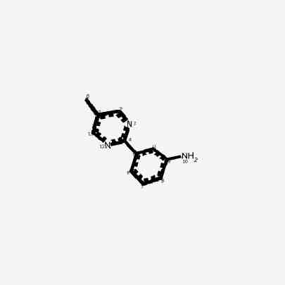 Cc1cnc(-c2cccc(N)c2)nc1